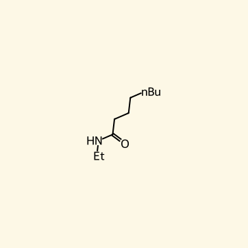 [CH2]CNC(=O)CCCCCCC